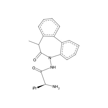 CC1C(=O)N(NC(=O)[C@@H](N)C(C)C)c2ccccc2-c2ccccc21